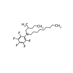 CCCCCCCCCN(CC(C)CCC)c1c(F)c(F)c(F)c(F)c1F